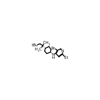 CCc1cc(N[C@H]2CC[C@@H](C(C)(C)CC(C)(C)C)CC2)c(Br)cn1